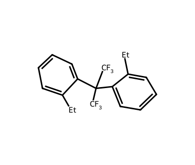 CCc1ccccc1C(c1ccccc1CC)(C(F)(F)F)C(F)(F)F